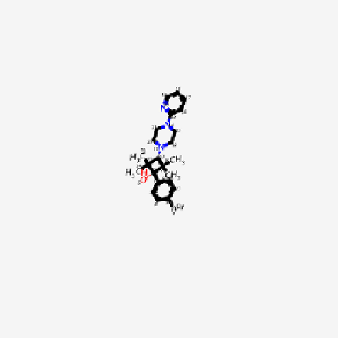 CCCc1ccc([C@]2(O)C(C)(C)[C@@H](N3CCN(c4ccccn4)CC3)C2(C)C)cc1